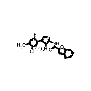 Cc1cc(F)c(-c2csc(NC(=O)c3cc4ccccc4o3)c2C(=O)O)cc1Cl